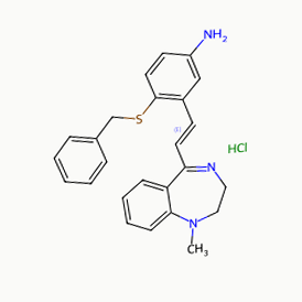 CN1CCN=C(/C=C/c2cc(N)ccc2SCc2ccccc2)c2ccccc21.Cl